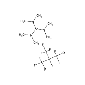 CN(C)[S+](N(C)C)N(C)C.[O-]C(F)(F)C(F)(C(F)(F)F)C(F)(F)F